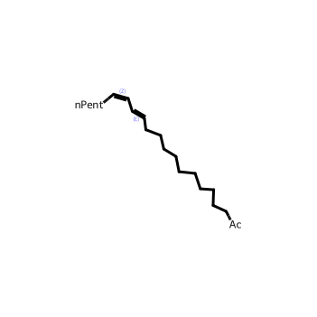 CCCCC/C=C\C=C\CCCCCCCCCCC(C)=O